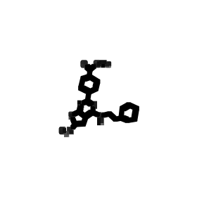 COC(=O)c1ccc(-c2nc(NCCc3ccccc3)c3cc([N+](=O)[O-])sc3n2)cc1